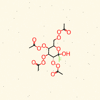 CC(=O)OOCC1OC(O)(F)[C@H](OOC(C)=O)[C@@H](OOC(C)=O)[C@H]1OOC(C)=O